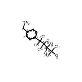 [CH2]Cc1ccc(C(Cl)(Cl)C(Cl)(Cl)C(Cl)(Cl)C(Cl)(Cl)Cl)cc1